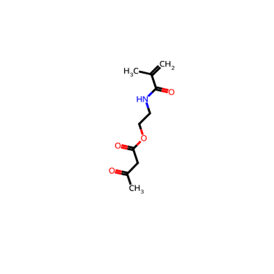 C=C(C)C(=O)NCCOC(=O)CC(C)=O